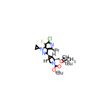 CC(C)c1nc(Cl)c(F)c2c1c([C@@H]1[C@H]3CN(C(=O)OC(C)(C)C)[C@H](CO[Si](C)(C)C(C)(C)C)[C@H]31)nn2C1CC1